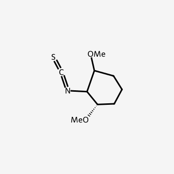 COC1CCC[C@H](OC)C1N=C=S